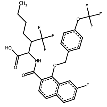 CCCCC(C(NC(=O)c1ccc2ccc(F)cc2c1OCc1ccc(OC(F)(F)F)cc1)C(=O)O)C(F)(F)F